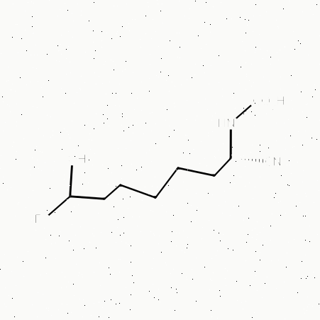 CCC(O)CCCCC[C@@H](C#N)NC(=O)O